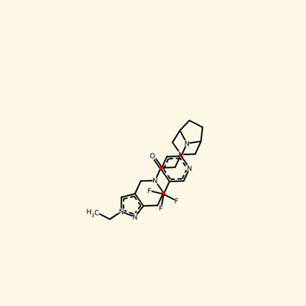 CCn1cc2c(n1)CCN(C(=O)CN1CC3CCC(C1)N3c1ccc(C(F)(F)F)cn1)C2